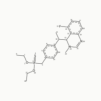 CCOP(=S)(Cc1ccc(C(C)C2c3c(F)cccc3N=CN2C)cc1)OCC